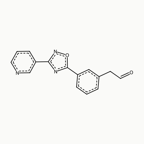 O=CCc1cccc(-c2nc(-c3cccnc3)no2)c1